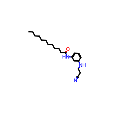 CCCCCCCCCCCC(=O)Nc1cccc(NCCC#N)c1